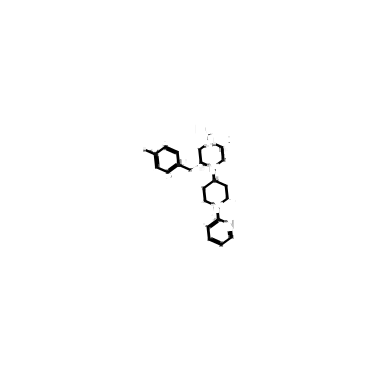 CC[C@@H]1CN(C2CCN(c3ccccn3)CC2)[C@@H](Cc2ccc(Cl)cc2)CN1C